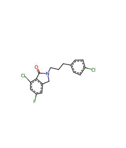 O=C1c2c(Cl)cc(F)cc2CN1CCCc1ccc(Cl)cc1